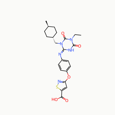 CCn1c(=O)[nH]/c(=N\c2ccc(Oc3cc(C(=O)O)sn3)cc2)n(C[C@H]2CC[C@H](C)CC2)c1=O